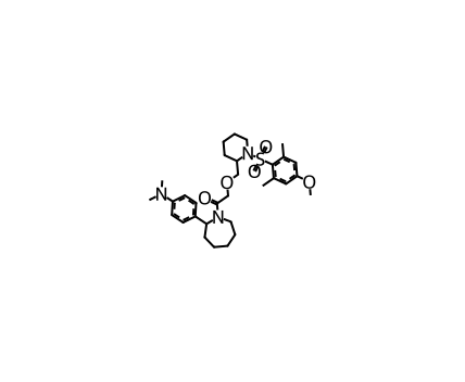 COc1cc(C)c(S(=O)(=O)N2CCCCC2COCC(=O)N2CCCCCC2c2ccc(N(C)C)cc2)c(C)c1